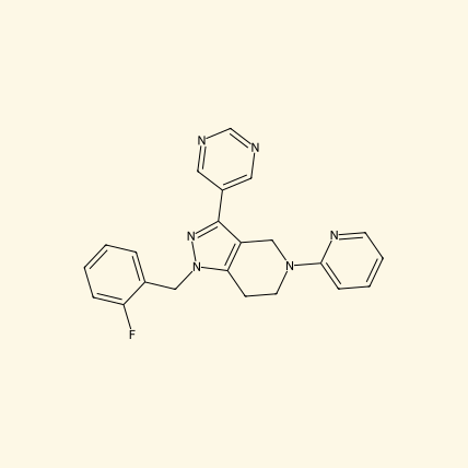 Fc1ccccc1Cn1nc(-c2cncnc2)c2c1CCN(c1ccccn1)C2